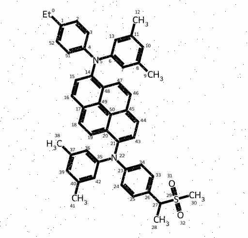 CCc1ccc(N(c2cc(C)cc(C)c2)c2ccc3ccc4c(N(c5ccc(C(C)S(C)(=O)=O)cc5)c5cc(C)cc(C)c5)ccc5ccc2c3c54)cc1